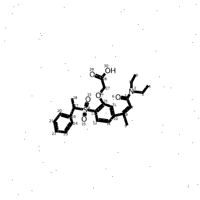 CCN(CC)C(=O)/C=C(/C)c1ccc(S(=O)(=O)C(C)c2ccccc2)c(OCC(=O)O)c1